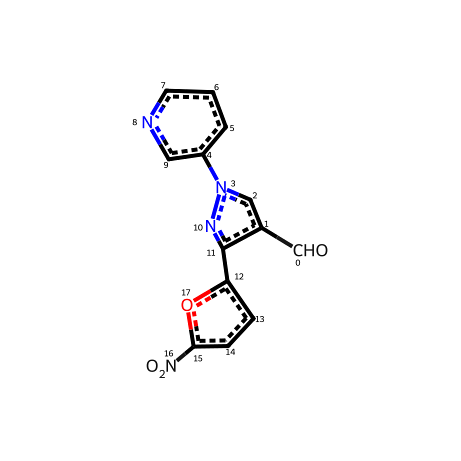 O=Cc1cn(-c2cccnc2)nc1-c1ccc([N+](=O)[O-])o1